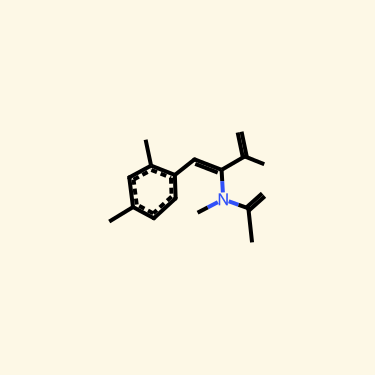 C=C(C)/C(=C/c1ccc(C)cc1C)N(C)C(=C)C